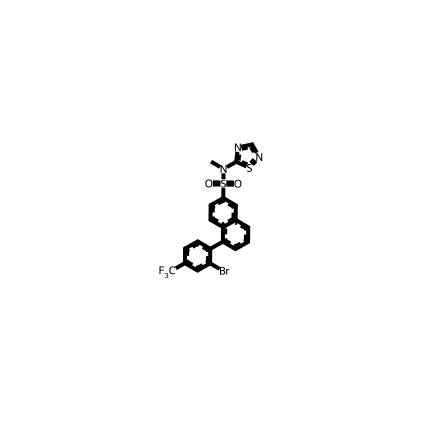 CN(c1ncns1)S(=O)(=O)c1ccc2c(-c3ccc(C(F)(F)F)cc3Br)cccc2c1